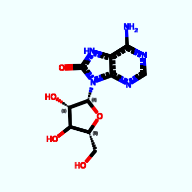 Nc1ncnc2c1[nH]c(=O)n2[C@@H]1O[C@H](CO)C(O)[C@@H]1O